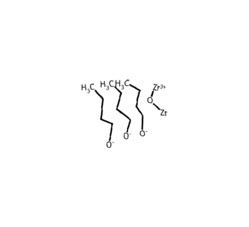 CCCC[O-].CCCC[O-].CCCC[O-].[Zr][O][Zr+3]